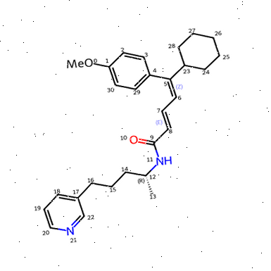 COc1ccc(/C(=C\C=C\C(=O)N[C@H](C)CCCc2cccnc2)C2CCCCC2)cc1